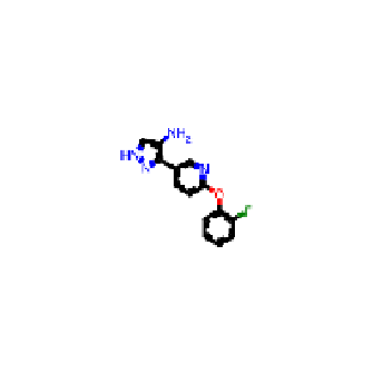 Nc1c[nH]nc1-c1ccc(Oc2ccccc2F)nc1